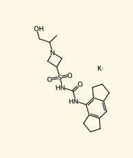 CC(CO)N1CC(S(=O)(=O)NC(=O)Nc2c3c(cc4c2CCC4)CCC3)C1.[K]